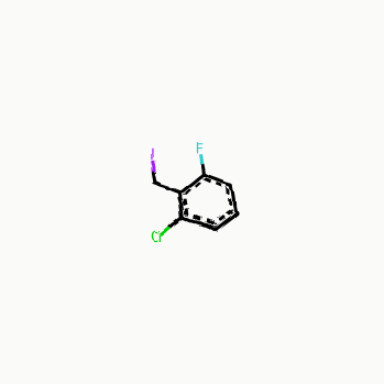 Fc1cccc(Cl)c1CI